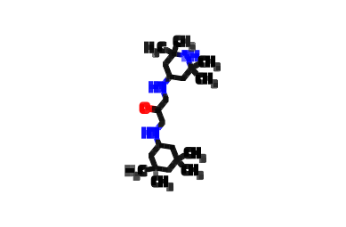 CC1(C)CC(NCC(=O)CNC2CC(C)(C)NC(C)(C)C2)CC(C)(C)C1